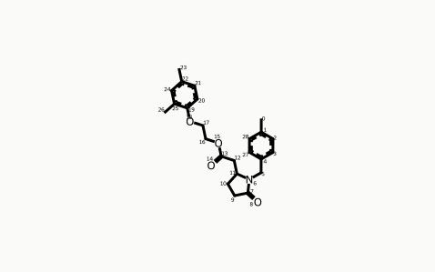 Cc1ccc(CN2C(=O)CCC2CC(=O)OCCOc2ccc(C)cc2C)cc1